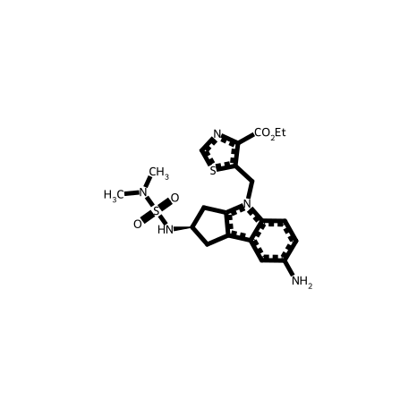 CCOC(=O)c1ncsc1Cn1c2c(c3cc(N)ccc31)C[C@@H](NS(=O)(=O)N(C)C)C2